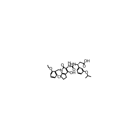 CCOc1cccc(Cl)c1Cn1c2c(c(O)c(NC(=O)N[C@@H](CC(=O)O)c3cccc(OC(C)C)c3)c1=O)CCC2